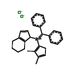 CC1=CC[C]([Zr+2](=[C](c2ccccc2)c2ccccc2)[CH]2C=CC3=C2CCCC3)=C1C.[Cl-].[Cl-]